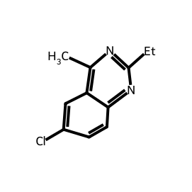 CCc1nc(C)c2cc(Cl)ccc2n1